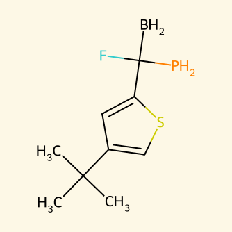 BC(F)(P)c1cc(C(C)(C)C)cs1